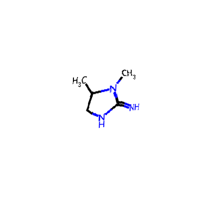 CC1CNC(=N)N1C